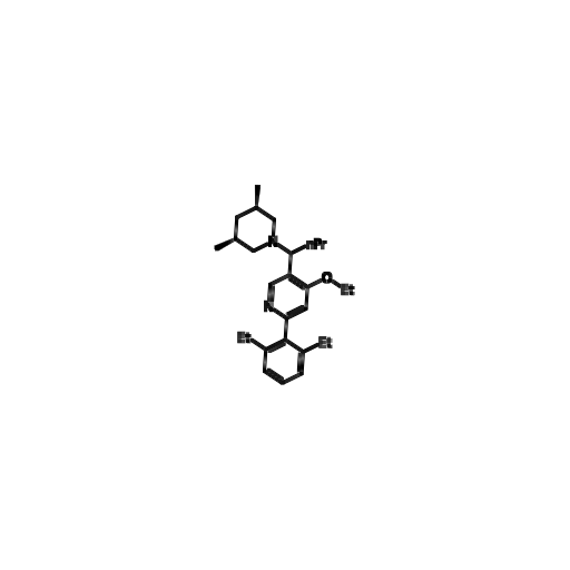 CCCC(c1cnc(-c2c(CC)cccc2CC)cc1OCC)N1C[C@H](C)C[C@H](C)C1